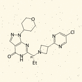 CC[C@H](c1nc2c(cnn2C2CCOCC2)c(=O)[nH]1)N1CC(c2ncc(Cl)cn2)C1